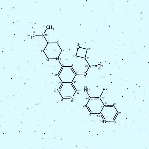 C[C@@H](Oc1cc(N2CCC(N(C)C)CC2)cc2ncnc(Nc3ccc4ncccc4c3F)c12)C1COC1